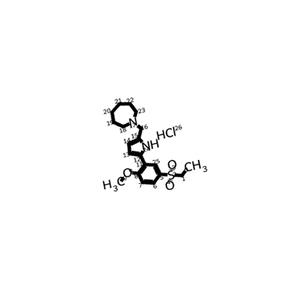 CCS(=O)(=O)c1ccc(OC)c(-c2ccc(CN3CCCCCC3)[nH]2)c1.Cl